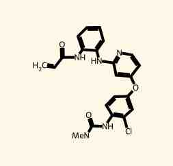 C=CC(=O)Nc1ccccc1Nc1cc(Oc2ccc(NC(=O)NC)c(Cl)c2)ccn1